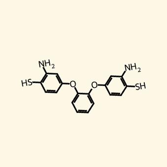 Nc1cc(Oc2ccccc2Oc2ccc(S)c(N)c2)ccc1S